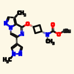 Cc1cnn2cc(-c3cnn(C)c3)nc(O[C@H]3C[C@@H](N(C)C(=O)OC(C)(C)C)C3)c12